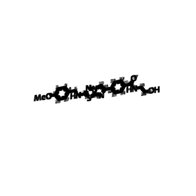 COc1ccc(CNc2nn3cc(-c4ccc(C(=O)NCCO)cc4)nc3s2)cc1